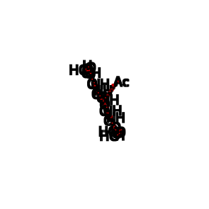 CC(=O)CCCCCCCCCCC(=O)NC(COCCC(=O)NCCCNC(=O)CCCCOC[C@]12CO[C@H](C[C@@H](O)[C@H]1O)O2)COCCC(=O)NCCCNC(=O)CCCCOC[C@]12CO[C@H](C[C@@H](O)[C@H]1O)O2